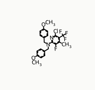 COc1ccc(CN(Cc2ccc(OC)cc2)c2nc(Cl)c(C(F)(F)F)c(C)c2F)cc1